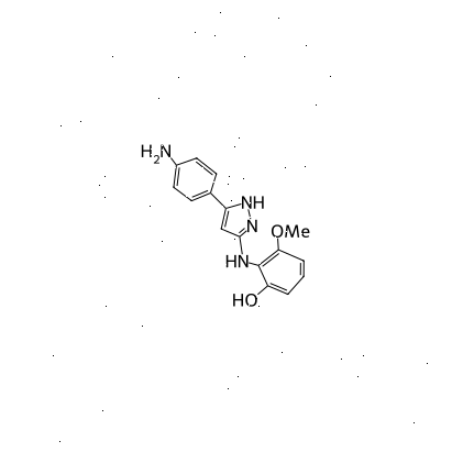 COc1cccc(O)c1Nc1cc(-c2ccc(N)cc2)[nH]n1